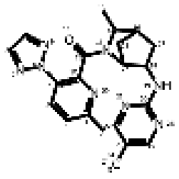 Cc1ccc(-n2nccn2)c(C(=O)N2C(C)C3CC(Nc4ncc(C(F)(F)F)cn4)C2C3)n1